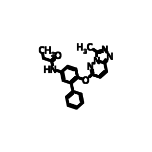 CCC(=O)Nc1ccc(Oc2ccc3nnc(C)n3n2)c(-c2ccccc2)c1